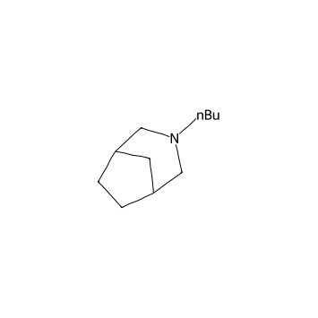 CCCCN1CC2CCC(C2)C1